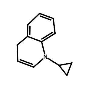 C1=CN(C2CC2)c2ccccc2C1